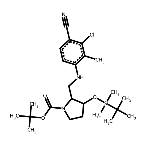 Cc1c(NCC2C(O[Si](C)(C)C(C)(C)C)CCN2C(=O)OC(C)(C)C)ccc(C#N)c1Cl